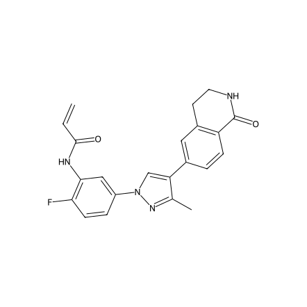 C=CC(=O)Nc1cc(-n2cc(-c3ccc4c(c3)CCNC4=O)c(C)n2)ccc1F